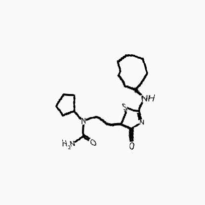 NC(=O)N(CCC1SC(NC2CCCCCC2)=NC1=O)C1CCCC1